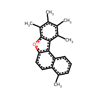 Cc1c(C)c(C)c2c(oc3ccc4c(C)cccc4c32)c1C